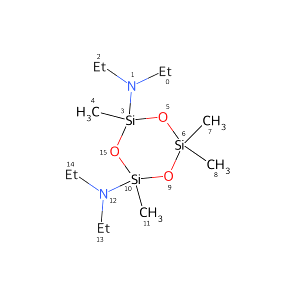 CCN(CC)[Si]1(C)O[Si](C)(C)O[Si](C)(N(CC)CC)O1